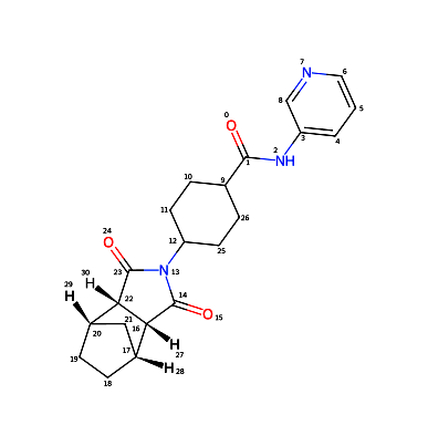 O=C(Nc1cccnc1)C1CCC(N2C(=O)[C@@H]3[C@@H]4CC[C@@H](C4)[C@@H]3C2=O)CC1